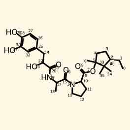 CC[C@@H]1CCC(C)(OC(=O)C2CCCN2C(=O)C(C)NC(=O)C(O)Cc2ccc(O)c(O)c2)C1(C)C